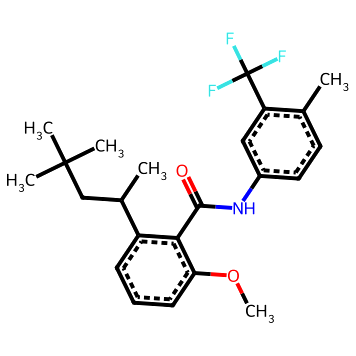 COc1cccc(C(C)CC(C)(C)C)c1C(=O)Nc1ccc(C)c(C(F)(F)F)c1